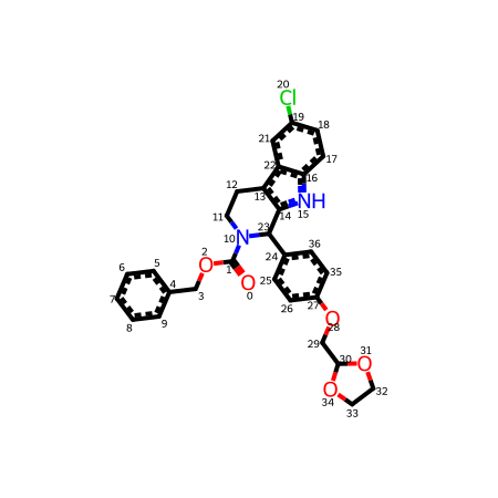 O=C(OCc1ccccc1)N1CCc2c([nH]c3ccc(Cl)cc23)C1c1ccc(OCC2OCCO2)cc1